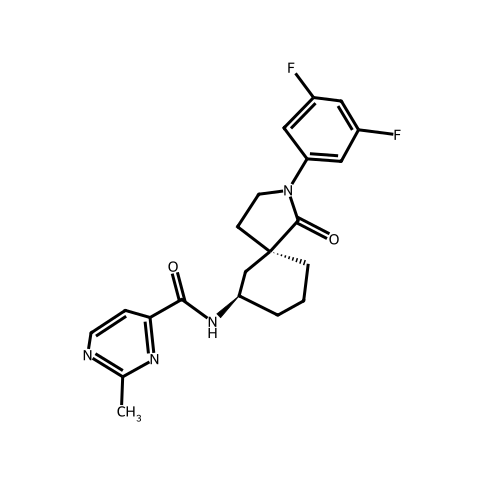 Cc1nccc(C(=O)N[C@@H]2CCC[C@@]3(CCN(c4cc(F)cc(F)c4)C3=O)C2)n1